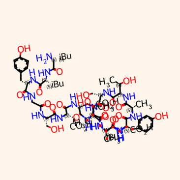 CC[C@H](C)[C@H](N)C(=O)N[C@H](C(=O)N[C@@H](Cc1ccc(O)cc1)C(=O)NCC(=O)N[C@@H](CO)C(=O)N[C@@H](CC(=O)O)C(=O)N[C@@H](CCC(=O)O)C(=O)N[C@H](C(=O)N[C@@H](C)C(=O)N[C@@H](Cc1ccc(O)cc1)C(=O)N[C@@H](C)C(=O)N[C@H](C(=O)N[C@@H](CO)C(=O)N[C@@H](C)C(=O)N[C@H](C(=O)NCC(=O)O)[C@@H](C)CC)[C@@H](C)O)[C@@H](C)O)[C@@H](C)CC